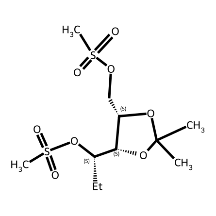 CC[C@H](OS(C)(=O)=O)[C@H]1OC(C)(C)O[C@H]1COS(C)(=O)=O